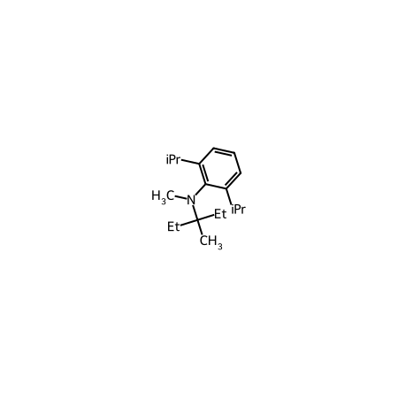 CCC(C)(CC)N(C)c1c(C(C)C)cccc1C(C)C